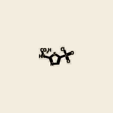 O=C(O)Nc1ncc(S(=O)(=O)Cl)s1